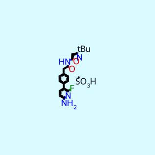 CC(C)(C)c1cc(NC(=O)Cc2ccc(-c3ccc(N)nc3F)cc2)on1.CS(=O)(=O)O